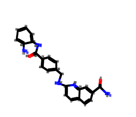 NC(=O)c1ccc2ccc(NCc3ccc(C(=O)Nc4ccccc4N)cc3)nc2c1